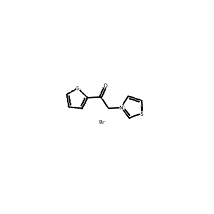 O=C(C[n+]1ccsc1)c1cccs1.[Br-]